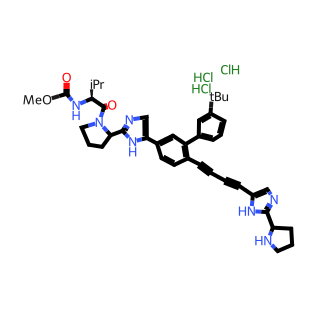 COC(=O)N[C@H](C(=O)N1CCCC1c1ncc(-c2ccc(C#CC#Cc3cnc(C4CCCN4)[nH]3)c(-c3cccc(C(C)(C)C)c3)c2)[nH]1)C(C)C.Cl.Cl.Cl